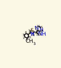 Cc1cccc(-c2csc(-c3c[nH]c4nccnc34)n2)c1